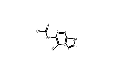 NC(=O)Nc1ncc2[nH]ncc2c1Br